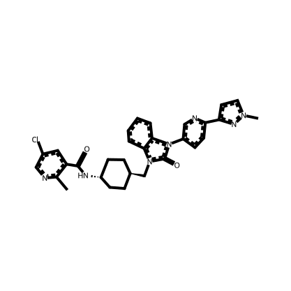 Cc1ncc(Cl)cc1C(=O)N[C@H]1CC[C@H](Cn2c(=O)n(-c3ccc(-c4ccn(C)n4)nc3)c3ccccc32)CC1